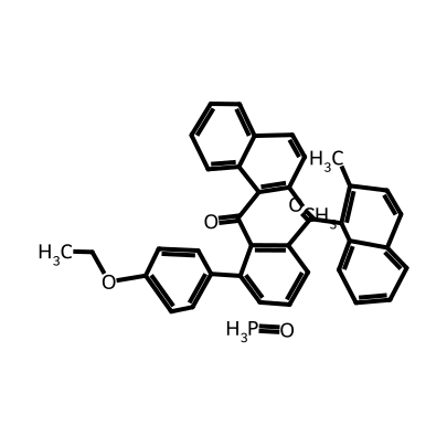 CCOc1ccc(-c2cccc(C(=O)c3c(C)ccc4ccccc34)c2C(=O)c2c(C)ccc3ccccc23)cc1.O=[PH3]